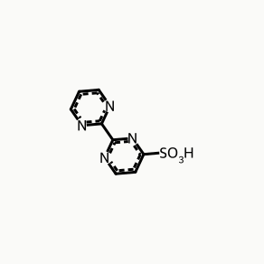 O=S(=O)(O)c1ccnc(-c2ncccn2)n1